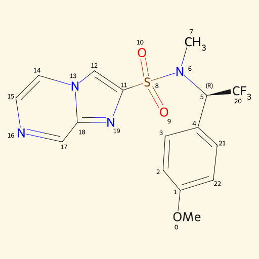 COc1ccc([C@@H](N(C)S(=O)(=O)c2cn3ccncc3n2)C(F)(F)F)cc1